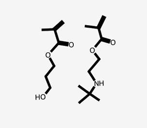 C=C(C)C(=O)OCCCO.C=C(C)C(=O)OCCNC(C)(C)C